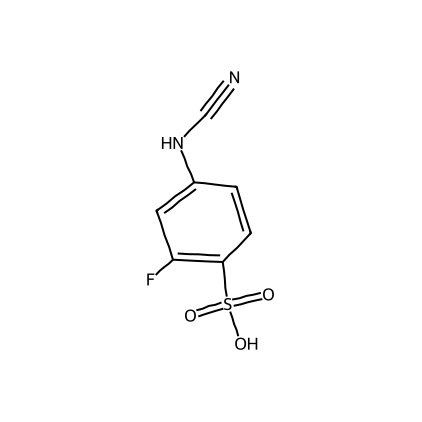 N#CNc1ccc(S(=O)(=O)O)c(F)c1